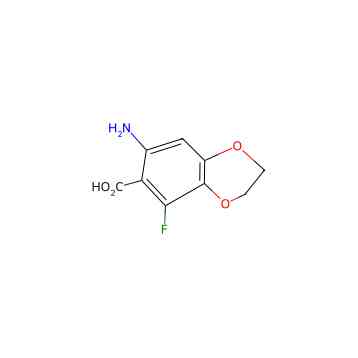 Nc1cc2c(c(F)c1C(=O)O)OCCO2